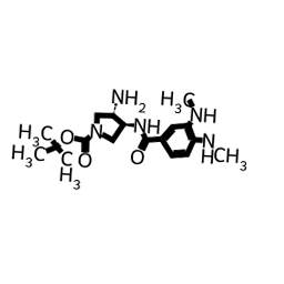 CNc1ccc(C(=O)N[C@H]2CN(C(=O)OC(C)(C)C)C[C@@H]2N)cc1NC